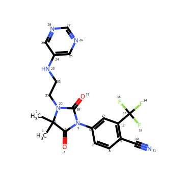 CC1(C)C(=O)N(c2ccc(C#N)c(C(F)(F)F)c2)C(=O)N1CCNc1cncnc1